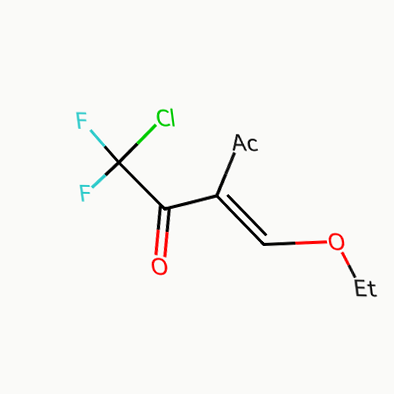 CCO/C=C(\C(C)=O)C(=O)C(F)(F)Cl